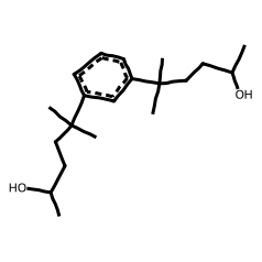 CC(O)CCC(C)(C)c1cccc(C(C)(C)CCC(C)O)c1